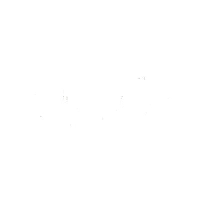 O=C(COc1ccc(F)c(Br)c1)NC1CC1